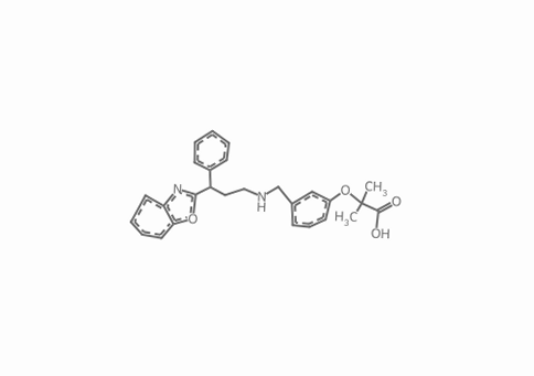 CC(C)(Oc1cccc(CNCCC(c2ccccc2)c2nc3ccccc3o2)c1)C(=O)O